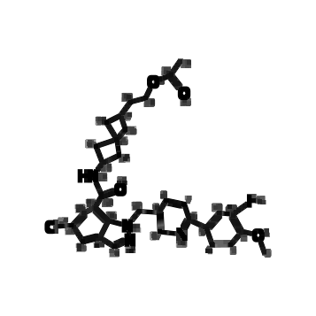 COc1ccc(-c2ccc(Cn3ncc4cc(Cl)cc(C(=O)NC5CC6(CC(CCOC(C)=O)C6)C5)c43)cn2)cc1F